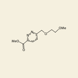 COCCOCc1ccc(C(=O)OC)nn1